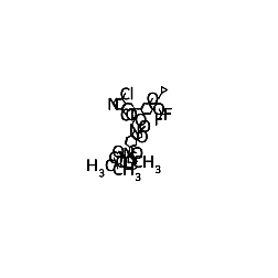 CC(C)(C)OC(=O)N(c1ccc2c(c1)oc(=O)n2CC(=O)O[C@@H](Cc1c(Cl)cncc1Cl)c1ccc(OC(F)F)c(OCC2CC2)c1)S(C)(=O)=O